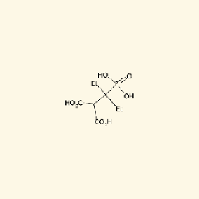 CCC(CC)(C(C(=O)O)C(=O)O)P(=O)(O)O